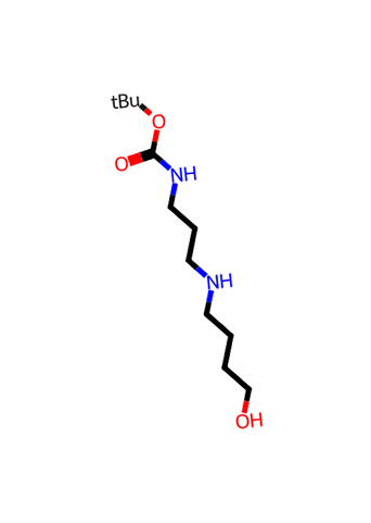 CC(C)(C)OC(=O)NCCCNCCCCO